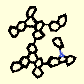 c1ccc(-n2c3ccccc3c3ccc(-c4cc5c6cc(-c7ccc8c(-c9ccc%10ccccc%10c9)cc9c%10ccccc%10c%10cc%11ccccc%11cc%10c9c8c7)ccc6c6cc7ccccc7cc6c5c5ccccc45)cc32)cc1